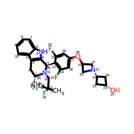 C[C@@H]1Cc2c([nH]c3ccccc23)[C@@H](c2c(F)cc(OC3CN([C@H]4C[C@@H](O)C4)C3)cc2F)N1CC(C)(C)F